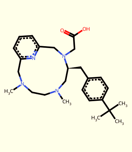 CN1CCN(C)C[C@H](Cc2ccc(C(C)(C)C)cc2)N(CC(=O)O)Cc2cccc(n2)C1